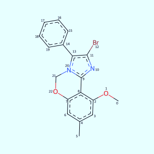 COc1cc(C)cc2c1-c1nc(Br)c(-c3ccccc3)n1CO2